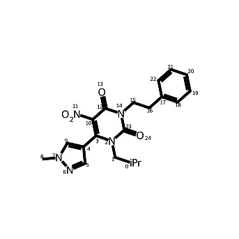 CC(C)Cn1c(-c2cnn(C)c2)c([N+](=O)[O-])c(=O)n(CCc2ccccc2)c1=O